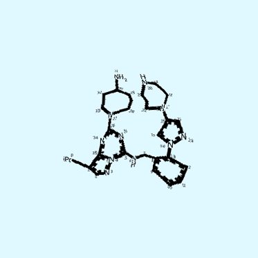 CC(C)c1cnn2c(NCc3ccccc3-n3cc(N4CCNCC4)cn3)nc(N3CCC(N)CC3)nc12